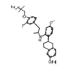 COc1ccc(C2CCc3cc(O)ccc3C2)c(NC(C)Cc2ccc(OCC(C)(C)N)c(F)c2)c1